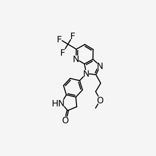 COCCc1nc2ccc(C(F)(F)F)nc2n1-c1ccc2c(c1)CC(=O)N2